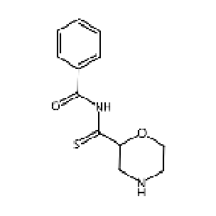 O=C(NC(=S)C1CNCCO1)c1ccccc1